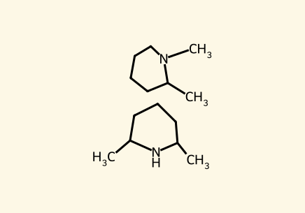 CC1CCCC(C)N1.CC1CCCCN1C